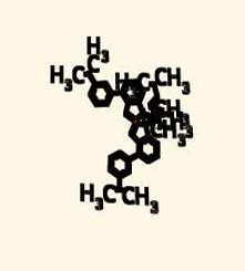 CC(C)C[CH]=[Hf]([CH3])([CH3])([CH3])([CH]1C=Cc2c(-c3cccc(C(C)C)c3)cccc21)[CH]1C=Cc2c(-c3cccc(C(C)C)c3)cccc21